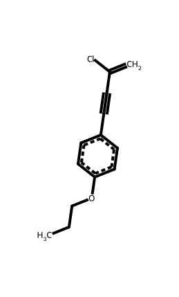 C=C(Cl)C#Cc1ccc(OCCC)cc1